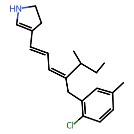 CCC(C)/C(=C\C=C\C1=CNCC1)Cc1cc(C)ccc1Cl